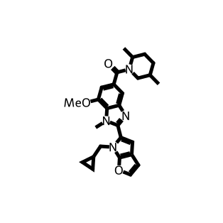 COc1cc(C(=O)N2CC(C)CCC2C)cc2nc(-c3cc4ccoc4n3CC3CC3)n(C)c12